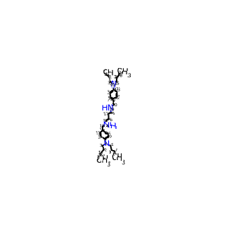 CCCCN(CCCC)c1ccc(CNCCCCNCc2ccc(N(CCCC)CCCC)cc2)cc1